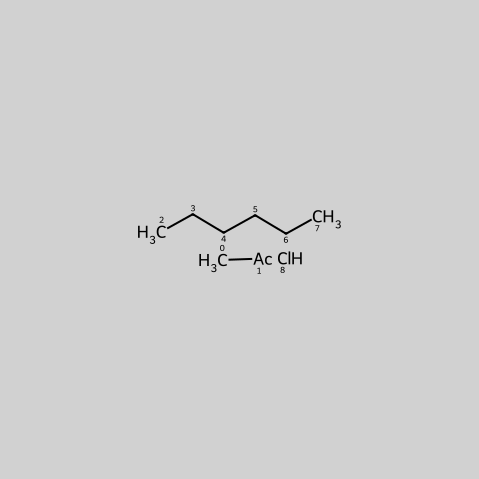 CC(C)=O.CCCCCC.Cl